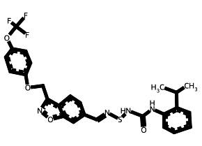 CC(C)c1ccccc1NC(=O)NS/N=C/c1ccc2c(COc3ccc(OC(F)(F)F)cc3)noc2c1